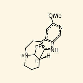 CCCC1[C@H]2CCC[N@]1CCc1c2[nH]c2cnc(OC)cc12